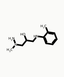 Cc1ccccc1NCC(O)CN(C)N